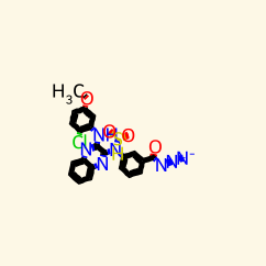 COc1ccc(Cl)c(Nc2nc3ccccc3nc2N(c2cccc(C(=O)N=[N+]=[N-])c2)[SH](=O)=O)c1